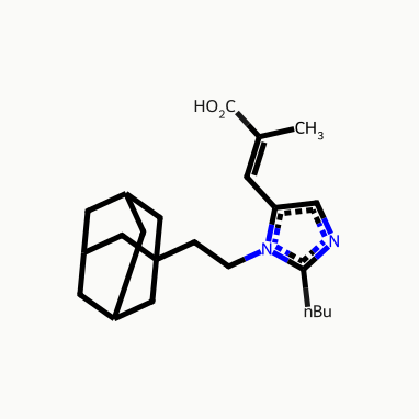 CCCCc1ncc(/C=C(\C)C(=O)O)n1CCC12CC3CC(CC(C3)C1)C2